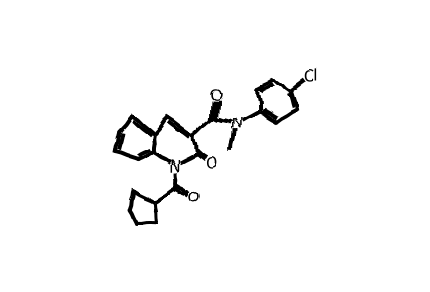 CN(C(=O)c1cc2ccccc2n(C(=O)C2CCCC2)c1=O)c1ccc(Cl)cc1